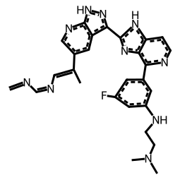 C=N/C=N\C=C(/C)c1cnc2[nH]nc(-c3nc4c(-c5cc(F)cc(NCCN(C)C)c5)nccc4[nH]3)c2c1